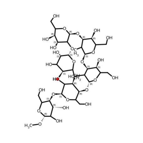 CO[C@@H]1OC(CO)[C@@H](O[C@@H]2OC(CO)[C@H](O[C@H]3OC(CO)[C@H](O)[C@H](O[C@@H]4OC(CO)[C@H](O)[C@H](O[C@@H]5OC(CO)[C@H](O)[C@H](O)C5O[C@@H]5OC(C)[C@@H](O)C(O)[C@@H]5O)C4C)C3O)[C@H](O)C2O)[C@H](O)C1O